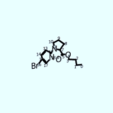 CCCCOC(=O)C1CCCN1c1ccc(Br)cn1